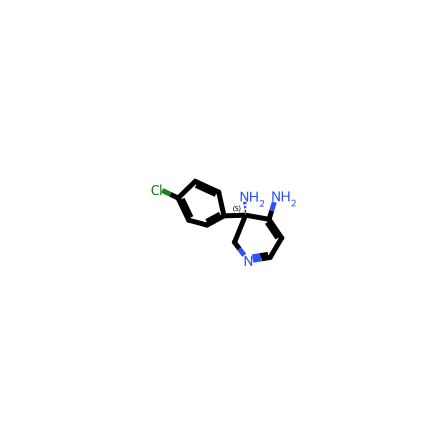 NC1=CC=NC[C@@]1(N)c1ccc(Cl)cc1